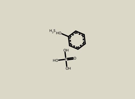 O=P(O)(O)O.Oc1ccccc1.S